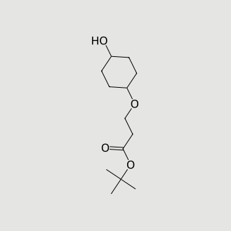 CC(C)(C)OC(=O)CCOC1CCC(O)CC1